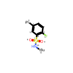 CC(C)c1ccc(F)c(S(=O)(=O)NC(C)(C)C)c1